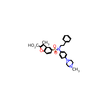 Cc1c(C(=O)O)oc2ccc(S(=O)(=O)N(CCc3ccccc3)c3ccc(N4CCN(C)CC4)cc3)cc12